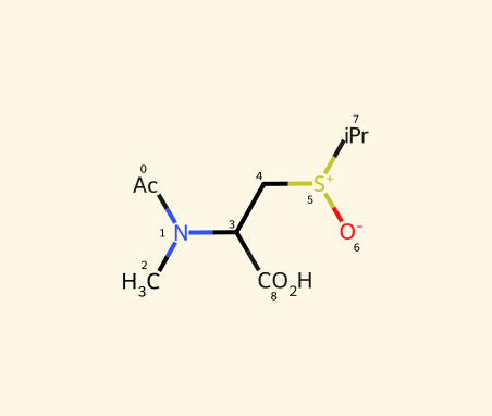 CC(=O)N(C)C(C[S+]([O-])C(C)C)C(=O)O